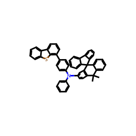 CC1(C)c2ccccc2C2(c3ccccc3-c3ccccc32)c2cc(N(c3ccccc3)c3ccc(-c4cccc5c4sc4ccccc45)cc3)ccc21